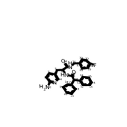 Nc1ccc(CC(NC(=O)C(c2ccccc2)c2ccccc2)C(=O)NCc2ccc(F)cc2)cn1